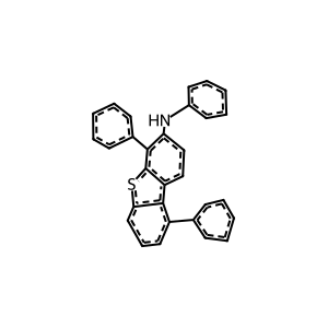 c1ccc(Nc2ccc3c(sc4cccc(-c5ccccc5)c43)c2-c2ccccc2)cc1